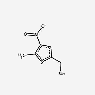 Cc1sc(CO)cc1[N+](=O)[O-]